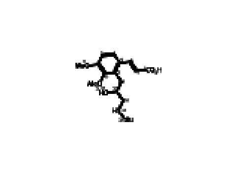 COc1ccc(C=CC(=O)O)c(CC(O)CNC(C)(C)C)c1OC